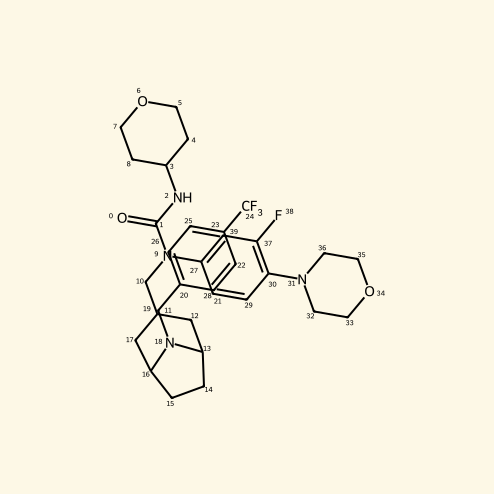 O=C(NC1CCOCC1)N(CC1CC2CCC(C1)N2Cc1ccc(C(F)(F)F)cc1)c1ccc(N2CCOCC2)c(F)c1